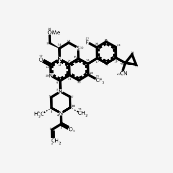 C=CC(=O)N1[C@H](C)CN(c2nc(=O)n3c4c(c(-c5cc(C6(C#N)CC6)ccc5F)c(C(F)(F)F)cc24)SC[C@@H]3COC)C[C@@H]1C